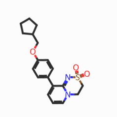 O=S1(=O)CCN2C=CC=C(c3ccc(OCC4CCCC4)cc3)C2=N1